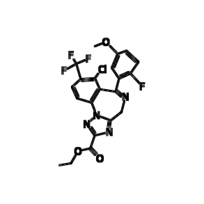 CCOC(=O)c1nc2n(n1)-c1ccc(C(F)(F)F)c(Cl)c1C(c1cc(OC)ccc1F)=NC2